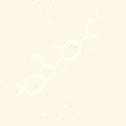 Cc1cc(N(C)CN)ccc1-c1sc2c(c1C(=O)O)CC(C)(C)CC2